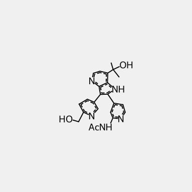 CC(=O)Nc1cc(-c2[nH]c3c(C(C)(C)O)ccnc3c2-c2ccc(CO)nc2)ccn1